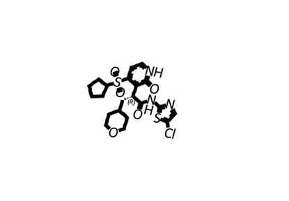 O=C(Nc1ncc(Cl)s1)[C@H](CC1CCOCC1)c1c(S(=O)(=O)C2CCCC2)cc[nH]c1=O